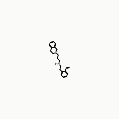 C=Cc1ccccc1CCNCCC[N+]1=Cc2ccccc2CC1